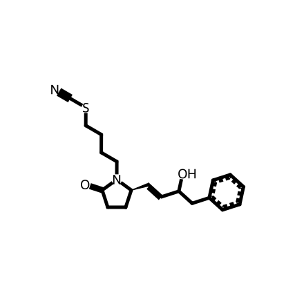 N#CSCCCCN1C(=O)CC[C@@H]1C=CC(O)Cc1ccccc1